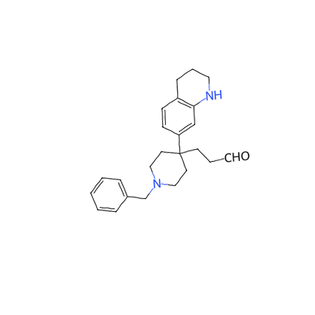 O=CCCC1(c2ccc3c(c2)NCCC3)CCN(Cc2ccccc2)CC1